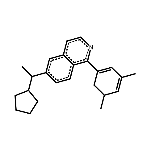 CC1=CC(C)CC(c2nccc3cc(C(C)C4CCCC4)ccc23)=C1